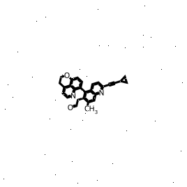 Cc1cc2nc(C#CC3CC3)ccc2c(-c2ccc3c4c(ccnc24)CCO3)c1CC=O